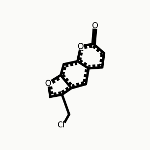 O=c1ccc2cc3c(CCl)coc3cc2o1